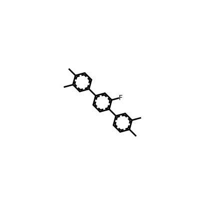 Cc1ccc(-c2ccc(-c3ccc(C)c(C)c3)c(F)c2)cc1C